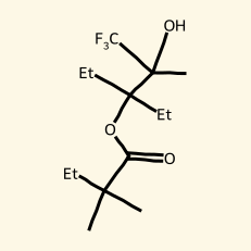 CCC(C)(C)C(=O)OC(CC)(CC)C(C)(O)C(F)(F)F